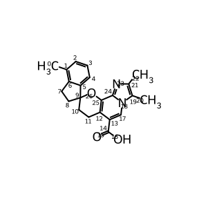 Cc1cccc2c1CCC21CCc2c(C(=O)O)cn3c(C)c(C)nc3c2O1